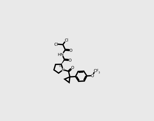 O=C(NC(=O)[C@@H]1CCCN1C(=O)C1(c2ccc(OC(F)(F)F)cc2)CC1)C(Cl)Cl